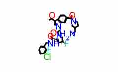 CC(=O)c1cn(CC(=O)N2C[C@H](F)C[C@H]2C(=O)NCc2cccc(Cl)c2F)c2cc(C(=O)N3CCC(CN)C3)ccc12